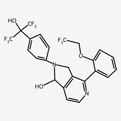 OC1c2ccnc(-c3ccccc3OCC(F)(F)F)c2CN1c1ccc(C(O)(C(F)(F)F)C(F)(F)F)cc1